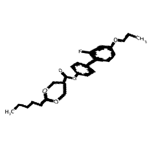 CCCCCC1OCC(C(=O)Oc2ccc(-c3ccc(OCCC)cc3F)cc2)CO1